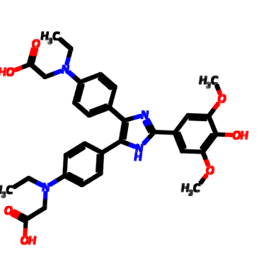 CCN(CC(=O)O)c1ccc(-c2nc(-c3cc(OC)c(O)c(OC)c3)[nH]c2-c2ccc(N(CC)CC(=O)O)cc2)cc1